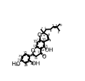 CC(C)=CCCC1(C)C=Cc2c(cc3c(c2O)C(=O)C[C@@H](c2ccc(O)cc2O)O3)O1